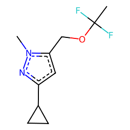 Cn1nc(C2CC2)cc1COC(C)(F)F